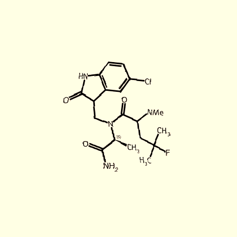 CNC(CC(C)(C)F)C(=O)N(CC1C(=O)Nc2ccc(Cl)cc21)[C@@H](C)C(N)=O